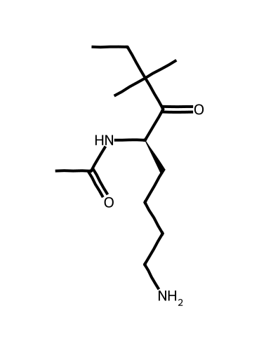 CCC(C)(C)C(=O)[C@@H](CCCCN)NC(C)=O